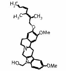 C=C/C=C\C(C)=C(/C)COc1cc2c(cc1OC)C1Cc3c(n(CO)c4ccc(OC)cc34)CN1CC2